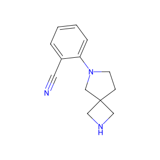 N#Cc1ccccc1N1CCC2(CNC2)C1